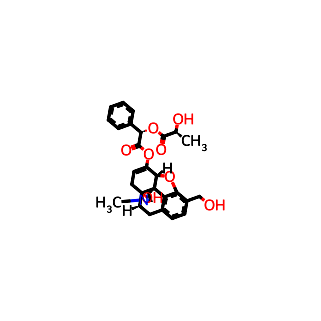 C[C@H](O)C(=O)O[C@H](C(=O)OC1=CC[C@@]2(O)[C@H]3Cc4ccc(CO)c5c4[C@@]2(CCN3C)[C@H]1O5)c1ccccc1